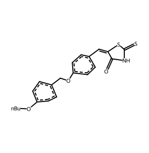 CCCCOc1ccc(COc2ccc(C=C3SC(=S)NC3=O)cc2)cc1